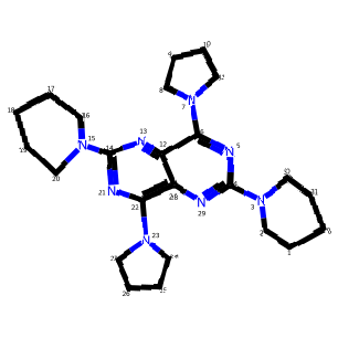 C1CCN(c2nc(N3CCCC3)c3nc(N4CCCCC4)nc(N4CCCC4)c3n2)CC1